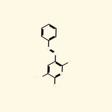 COc1cc(/N=N/c2ccccc2)c(NC(C)=O)nc1NC(C)=O